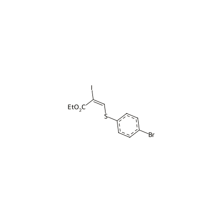 CCOC(=O)/C(I)=C\Sc1ccc(Br)cc1